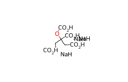 O=C(O)CC(CC(=O)O)(OC(=O)O)C(=O)O.[NaH].[NaH].[NaH]